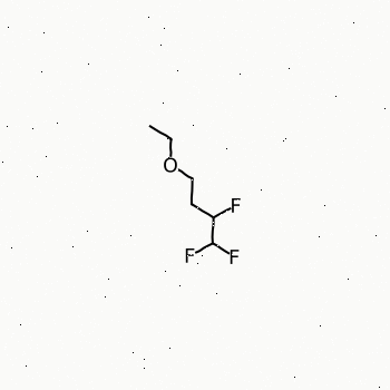 CCOCCC(F)C(F)F